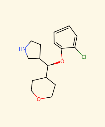 Clc1ccccc1O[C@@H](C1CCOCC1)C1CCNC1